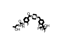 CC(O)CNC(=O)Nc1ccc(C(=O)N2CCN(Cc3ccc(C(O)(C(F)(F)F)C(F)(F)F)cc3)CC2)cc1F